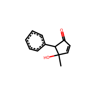 CC1(O)C=CC(=O)C1c1ccccc1